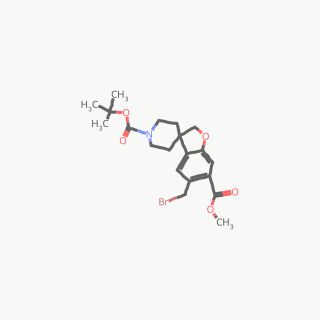 COC(=O)c1cc2c(cc1CBr)C1(CCN(C(=O)OC(C)(C)C)CC1)CO2